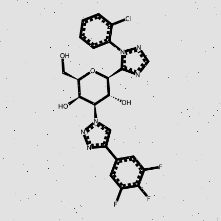 OC[C@H]1O[C@@H](c2ncnn2-c2ccccc2Cl)[C@H](O)[C@@H](n2cc(-c3cc(F)c(F)c(F)c3)nn2)[C@H]1O